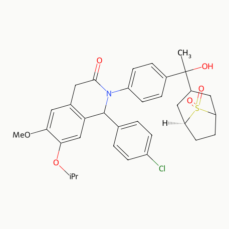 COc1cc2c(cc1OC(C)C)C(c1ccc(Cl)cc1)N(c1ccc(C(C)(O)C3CC4CC[C@@H](C3)S4(=O)=O)cc1)C(=O)C2